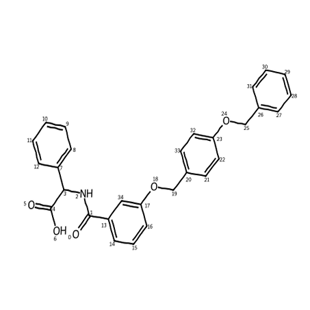 O=C(NC(C(=O)O)c1ccccc1)c1cccc(OCc2ccc(OCc3ccccc3)cc2)c1